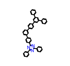 c1ccc(-c2cc(-c3ccccc3)cc(-c3ccc(-c4cccc(-c5ccc(-c6nc(-c7ccccc7)nc(-c7ccccc7)n6)cc5)c4)cc3)c2)cc1